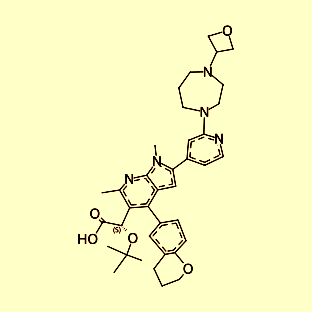 Cc1nc2c(cc(-c3ccnc(N4CCCN(C5COC5)CC4)c3)n2C)c(-c2ccc3c(c2)CCCO3)c1[C@H](OC(C)(C)C)C(=O)O